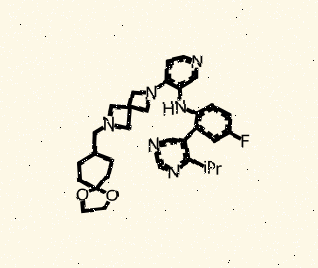 CC(C)c1ncncc1-c1cc(F)ccc1Nc1cnccc1N1CC2(CN(CC3CCC4(CC3)OCCO4)C2)C1